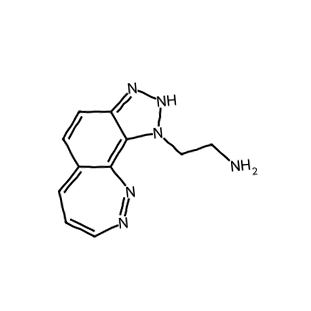 NCCN1NN=c2ccc3c(c21)N=NC=CC=3